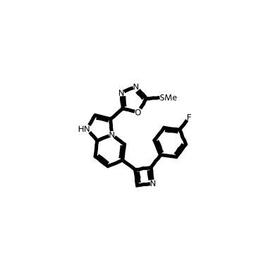 CSc1nnc(C2=CNC3C=CC(C4=CN=C4c4ccc(F)cc4)=CN23)o1